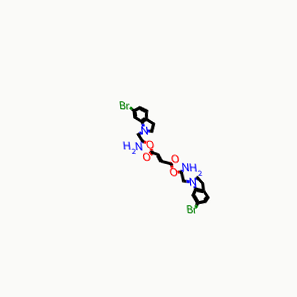 NC(CN1CCc2ccc(Br)cc21)OC(=O)/C=C/C(=O)OC(N)CN1CCc2ccc(Br)cc21